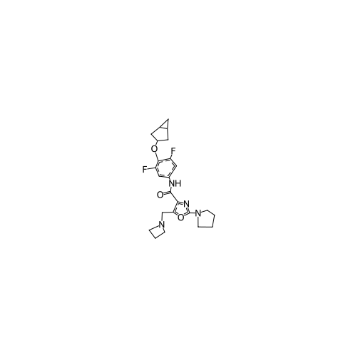 O=C(Nc1cc(F)c(OC2CC3CC3C2)c(F)c1)c1nc(N2CCCC2)oc1CN1CCC1